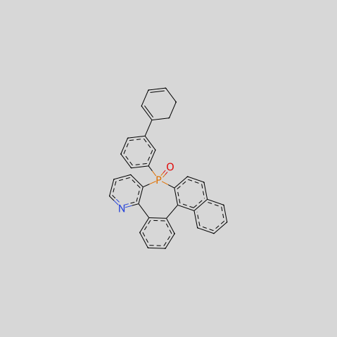 O=P1(c2cccc(C3=CC=CCC3)c2)c2cccnc2-c2ccccc2-c2c1ccc1ccccc21